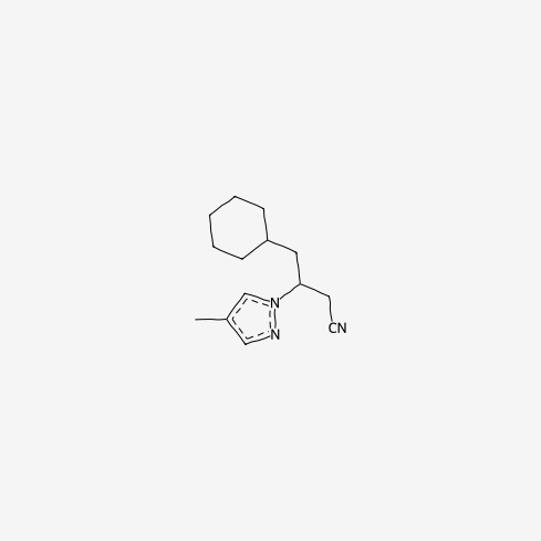 Cc1cnn(C(CC#N)CC2CCCCC2)c1